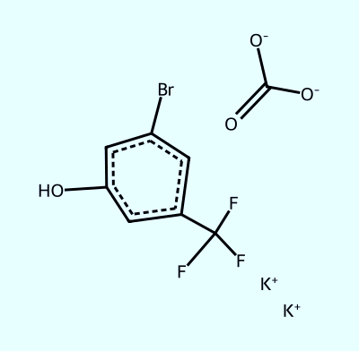 O=C([O-])[O-].Oc1cc(Br)cc(C(F)(F)F)c1.[K+].[K+]